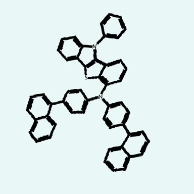 c1ccc(-n2c3ccccc3c3sc4c(N(c5ccc(-c6cccc7ccccc67)cc5)c5ccc(-c6cccc7ccccc67)cc5)cccc4c32)cc1